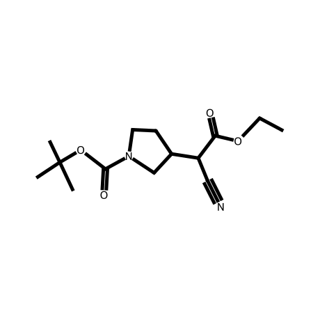 CCOC(=O)C(C#N)C1CCN(C(=O)OC(C)(C)C)C1